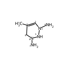 CC1=CN(N)NN(N)C1